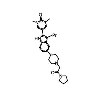 Cc1cc(-c2[nH]c3ccc(C4CCN(CC(=O)N5CCCC5)CC4)cc3c2C(C)C)cn(C)c1=O